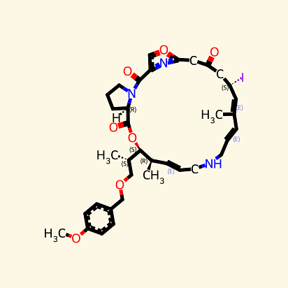 COc1ccc(COC[C@H](C)[C@H]2OC(=O)[C@H]3CCCN3C(=O)c3coc(n3)CC(=O)C[C@H](I)/C=C(C)/C=C/CNC/C=C/[C@H]2C)cc1